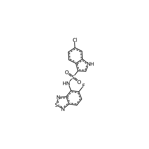 O=S(=O)(Nc1c(F)ccc2nsnc12)c1c[nH]c2cc(Cl)ccc12